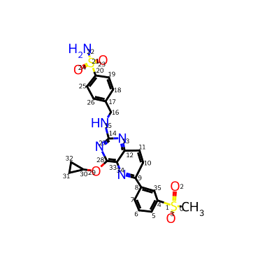 CS(=O)(=O)c1cccc(-c2ccc3nc(NCc4ccc(S(N)(=O)=O)cc4)nc(OC4CC4)c3n2)c1